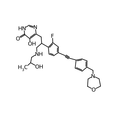 CC(O)CNCC(Cc1nc[nH]c(=O)c1O)c1ccc(C#Cc2ccc(CN3CCOCC3)cc2)cc1F